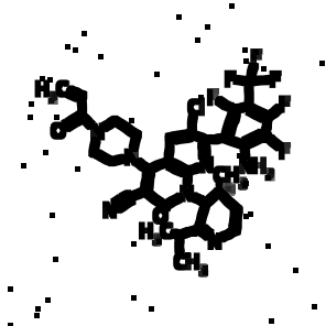 C=CC(=O)N1CCN(c2c(C#N)c(=O)n(C3C(C(C)C)=NC=C[C@H]3C)c3nc(-c4c(N)c(F)c(F)c(C(F)(F)F)c4F)c(Cl)cc23)CC1